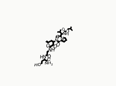 CCCC(NC(=O)[C@@H]1CCCN1C(=O)C(NC(=O)OCC(C)C)C(C)C)C(=O)C(=O)NCC(=O)NC(CCO)C(N)=O